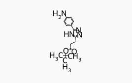 CC(C)(C)OC(=O)CCc1nnc(-c2ccc(N)cc2)[nH]1